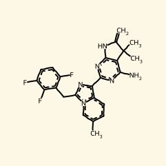 C=C1Nc2nc(-c3nc(Cc4c(F)ccc(F)c4F)n4cc(C)ccc34)nc(N)c2C1(C)C